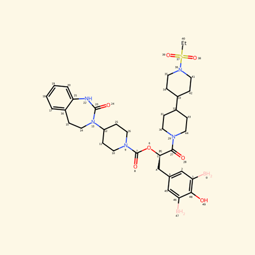 Bc1cc(C[C@@H](OC(=O)N2CCC(N3CCc4ccccc4NC3=O)CC2)C(=O)N2CCC(C3CCN(S(=O)(=O)CC)CC3)CC2)cc(B)c1O